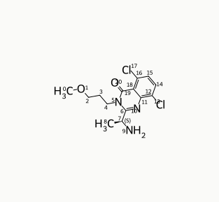 COCCCn1c([C@H](C)N)nc2c(Cl)ccc(Cl)c2c1=O